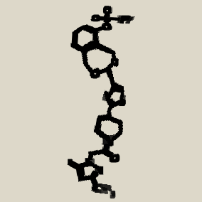 Cc1cc(C(F)(F)F)nn1CC(=O)N1CCC(c2nc(C3OCc4cccc(OS(=O)(=O)C(C)C)c4CO3)cs2)CC1